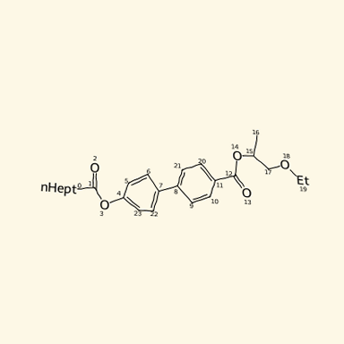 CCCCCCCC(=O)Oc1ccc(-c2ccc(C(=O)OC(C)COCC)cc2)cc1